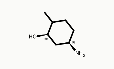 CC1CC[C@@H](N)C[C@H]1O